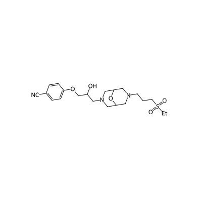 CCS(=O)(=O)CCCN1CC2CN(CC(O)COc3ccc(C#N)cc3)CC(C1)O2